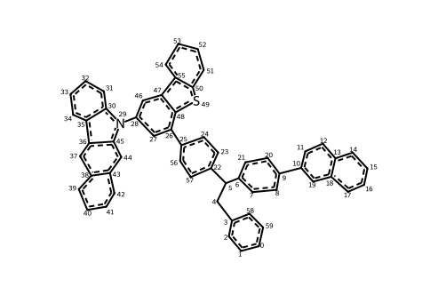 c1ccc(CC(c2ccc(-c3ccc4ccccc4c3)cc2)c2ccc(-c3cc(-n4c5ccccc5c5cc6ccccc6cc54)cc4c3sc3ccccc34)cc2)cc1